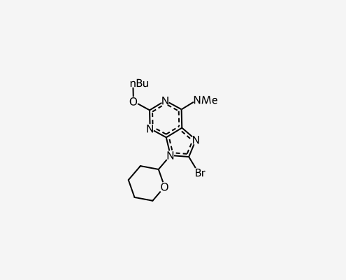 CCCCOc1nc(NC)c2nc(Br)n(C3CCCCO3)c2n1